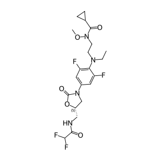 CCN(CCN(OC)C(=O)C1CC1)c1c(F)cc(N2C[C@H](CNC(=O)C(F)F)OC2=O)cc1F